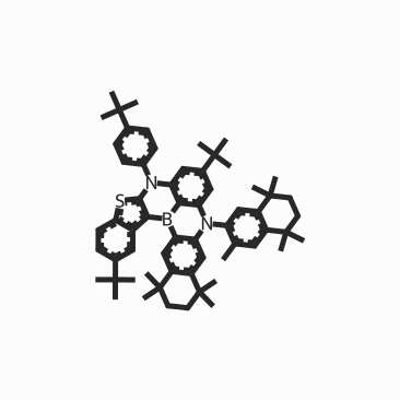 Cc1cc2c(cc1N1c3cc4c(cc3B3c5c1cc(C(C)(C)C)cc5N(c1ccc(C(C)(C)C)cc1)c1sc5ccc(C(C)(C)C)cc5c13)C(C)(C)CCC4(C)C)C(C)(C)CCC2(C)C